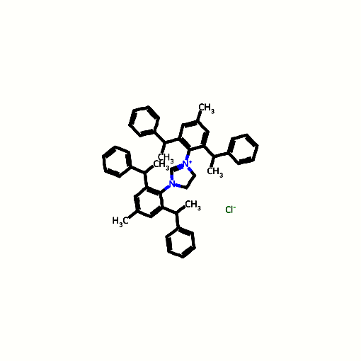 Cc1cc(C(C)c2ccccc2)c(N2C=[N+](c3c(C(C)c4ccccc4)cc(C)cc3C(C)c3ccccc3)CC2)c(C(C)c2ccccc2)c1.[Cl-]